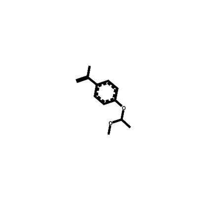 C=C(C)c1ccc(OC(C)OC)cc1